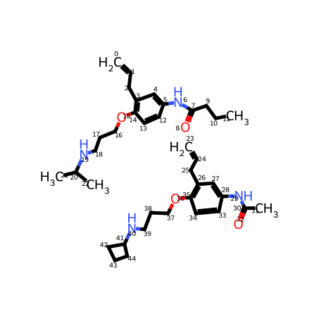 C=CCc1cc(NC(=O)CCC)ccc1OCCCNC(C)C.C=CCc1cc(NC(C)=O)ccc1OCCCNC1CCC1